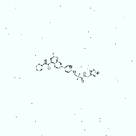 Cc1cc(C(=O)Nc2ccccc2)c2ccc(-c3ccc(OCC(C)(C)C(=O)NCc4nn[nH]n4)nc3)cc2n1